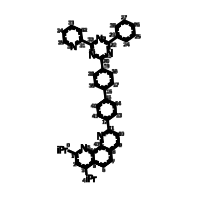 CC(C)c1cc(C(C)C)c2ccc3ccc(-c4ccc(-c5ccc(-c6nc(-c7ccccc7)nc(-c7ccccn7)n6)cc5)cc4)nc3c2n1